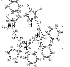 Cc1c(C)c2[nH]c1cc1nc(c3[nH]c(cc4[nH]c(c(C)c4C)c2-c2ccccc2)c(-c2ccccc2)c3-c2ccccc2)C(c2ccccc2)=C1c1ccccc1